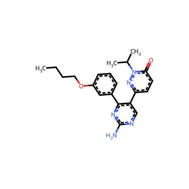 CCCCOc1cccc(-c2nc(N)ncc2-c2ccc(=O)n(C(C)C)n2)c1